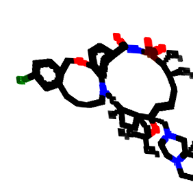 CC(C)O[C@]1(CN2CCN3CCOC[C@@H]3C2)/C=C/C[C@H](C)[C@@H](C)S(=O)(=O)NC(=O)c2ccc3c(c2)N(CCCCc2cc(Cl)ccc2CO3)C[C@@H]2CC[C@H]21